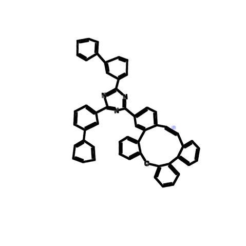 C1=C\c2ccc(-c3nc(-c4cccc(-c5ccccc5)c4)nc(-c4cccc(-c5ccccc5)c4)n3)cc2-c2ccccc2Oc2ccccc2-c2ccccc2/1